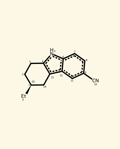 CC[C@H]1CCc2[nH]c3ccc(C#N)cc3c2C1